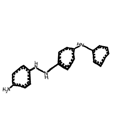 Nc1ccc(NNc2ccc(Nc3ccccc3)cc2)cc1